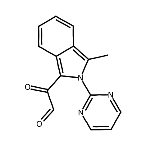 Cc1c2ccccc2c(C(=O)C=O)n1-c1ncccn1